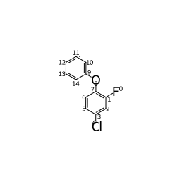 Fc1cc(Cl)ccc1Oc1c[c]ccc1